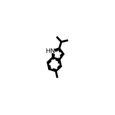 Cc1ccc2[nH]c(C(C)C)cc2c1